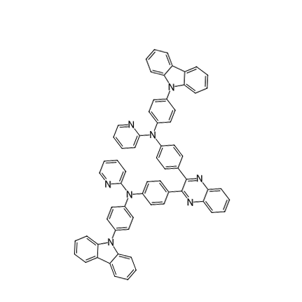 c1ccc(N(c2ccc(-c3nc4ccccc4nc3-c3ccc(N(c4ccc(-n5c6ccccc6c6ccccc65)cc4)c4ccccn4)cc3)cc2)c2ccc(-n3c4ccccc4c4ccccc43)cc2)nc1